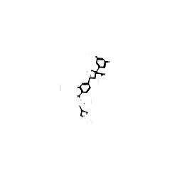 Cc1cc(C2=NCC(c3cc(Cl)cc(Cl)c3)(C(F)(F)F)C2)ccc1C(=O)NCC1C[S+]([O-])C1